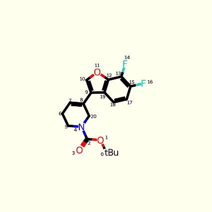 CC(C)(C)OC(=O)N1CCC=C(c2coc3c(F)c(F)ccc23)C1